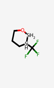 FC(F)(F)[SiH]1CCCO[SiH2]1